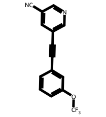 N#Cc1cncc(C#Cc2cccc(OC(F)(F)F)c2)c1